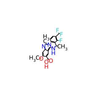 COc1cc2nc(C)nc(NC(C)c3cccc(C(F)F)c3F)c2cc1C(=O)O